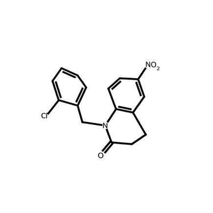 O=C1CCc2cc([N+](=O)[O-])ccc2N1Cc1ccccc1Cl